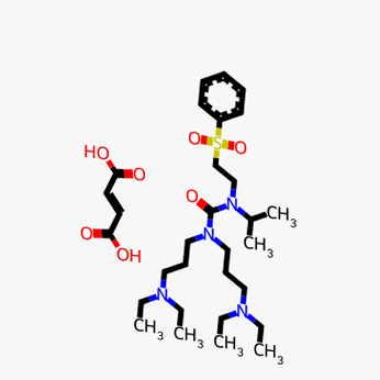 CCN(CC)CCCN(CCCN(CC)CC)C(=O)N(CCS(=O)(=O)c1ccccc1)C(C)C.O=C(O)C=CC(=O)O